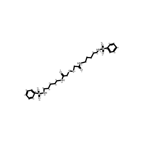 O=C(CSSCC(=O)NCCCCCNS(=O)(=O)c1ccccc1)NCCCCCNS(=O)(=O)c1ccccc1